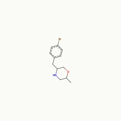 CC1CNC(Cc2ccc(Br)cc2)CO1